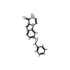 O=c1[nH]ccn2c1cc1ccc(OCc3ccccc3)cc12